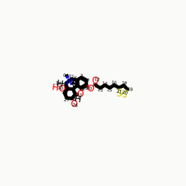 CN1CC[C@]23c4c5ccc(OC(=O)CCCCC6CCSS6)c4O[C@H]2C(=O)CC[C@@]3(O)[C@H]1C5